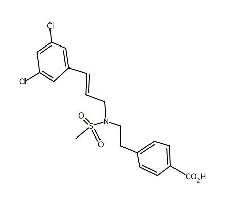 CS(=O)(=O)N(C/C=C/c1cc(Cl)cc(Cl)c1)CCc1ccc(C(=O)O)cc1